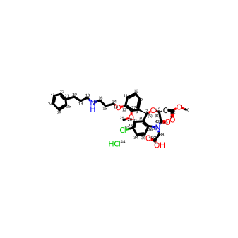 COC(=O)C[C@H]1O[C@H](c2cccc(OCCCNCCCc3ccccc3)c2OC)c2cc(Cl)ccc2N(CC(=O)O)C1=O.Cl